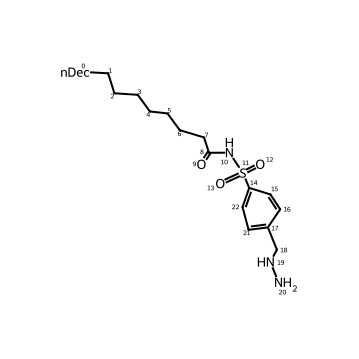 CCCCCCCCCCCCCCCCCC(=O)NS(=O)(=O)c1ccc(CNN)cc1